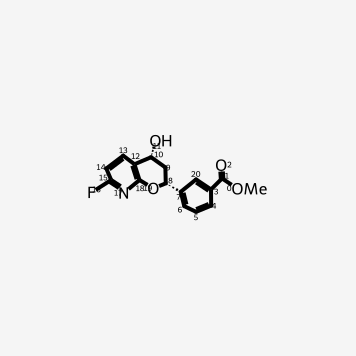 COC(=O)c1cccc([C@H]2C[C@@H](O)c3ccc(F)nc3O2)c1